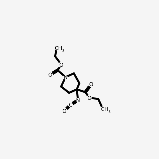 CCOC(=O)N1CCC(N=C=O)(C(=O)OCC)CC1